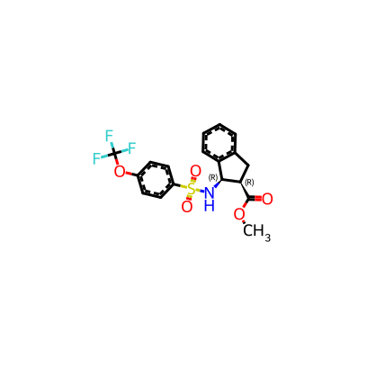 COC(=O)[C@@H]1Cc2ccccc2[C@@H]1NS(=O)(=O)c1ccc(OC(F)(F)F)cc1